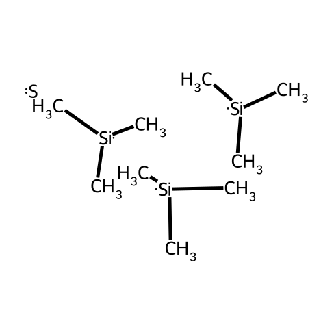 C[Si](C)C.C[Si](C)C.C[Si](C)C.[S]